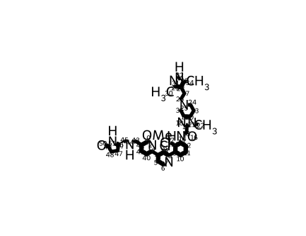 COc1nc(-c2ccnc(-c3cccc(NC(=O)c4nc5c(n4C)CCN(CCc4c(C)n[nH]c4C)C5)c3Cl)c2Cl)ccc1CNC[C@H]1CCC(=O)N1